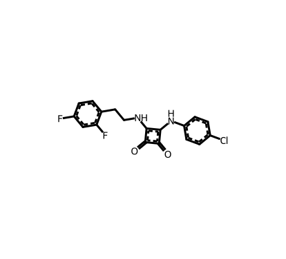 O=c1c(NCCc2ccc(F)cc2F)c(Nc2ccc(Cl)cc2)c1=O